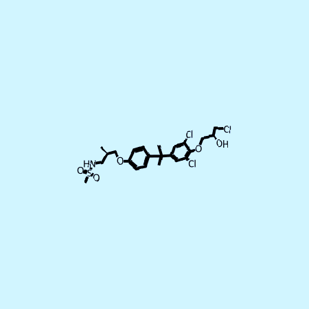 C[C@H](CNS(C)(=O)=O)COc1ccc(C(C)(C)c2cc(Cl)c(OC[C@H](O)CCl)c(Cl)c2)cc1